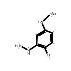 CCCCOc1ccc(Cl)c(NN)c1